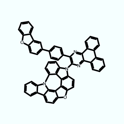 c1ccc2c(c1)oc1ccc(-c3ccc(-c4nc5c6ccccc6c6ccccc6c5nc4-n4c5ccc6oc7ccc8c9ccccc9n9c%10cccc4c%10c5c6c7c89)cc3)cc12